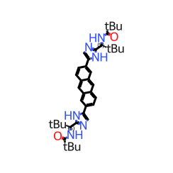 CC(C)(C)C(=O)N[C@H](c1ncc(-c2ccc3cc4cc(-c5cnc([C@@H](NC(=O)C(C)(C)C)C(C)(C)C)[nH]5)ccc4cc3c2)[nH]1)C(C)(C)C